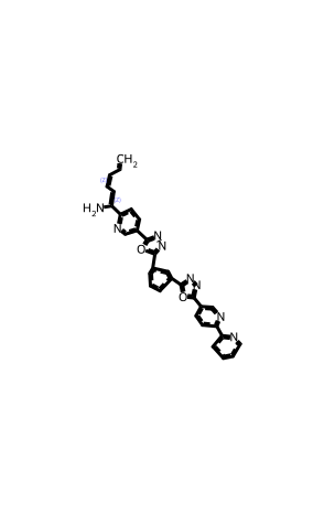 C=C/C=C\C=C(/N)c1ccc(-c2nnc(-c3cccc(-c4nnc(-c5ccc(-c6ccccn6)nc5)o4)c3)o2)cn1